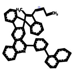 C=C/C=C\C1=C(C)C2(c3ccccc31)c1ccccc1-c1cc3c(cc12)c(-c1cccc(-c2cccc4ccccc24)c1)nc1ccccc13